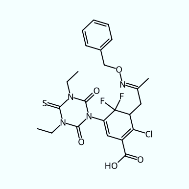 CCn1c(=S)n(CC)c(=O)n(C2=CC(C(=O)O)=C(Cl)C(CC(C)=NOCc3ccccc3)C2(F)F)c1=O